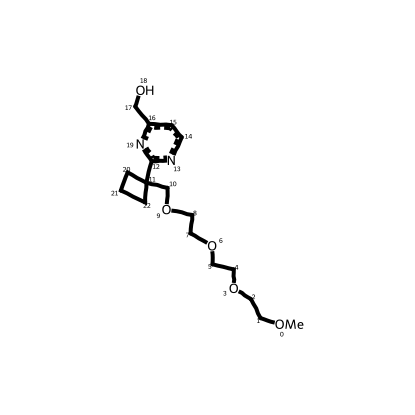 COCCOCCOCCOCC1(c2nccc(CO)n2)CCC1